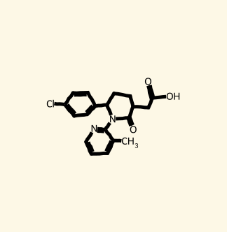 Cc1cccnc1N1C(=O)C(CC(=O)O)CCC1c1ccc(Cl)cc1